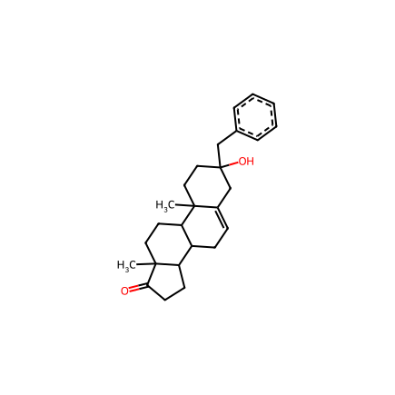 CC12CCC3C(CC=C4CC(O)(Cc5ccccc5)CCC43C)C1CCC2=O